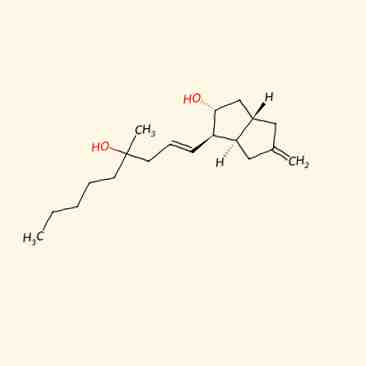 C=C1C[C@H]2C[C@@H](O)[C@H](/C=C/CC(C)(O)CCCCC)[C@@H]2C1